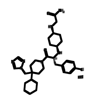 Cl.NC(=O)CN[C@H]1CC[C@@H](N[C@H](Cc2ccc(Cl)cc2)C(=O)N2CCC(Cn3cncn3)(C3CCCCC3)CC2)CC1